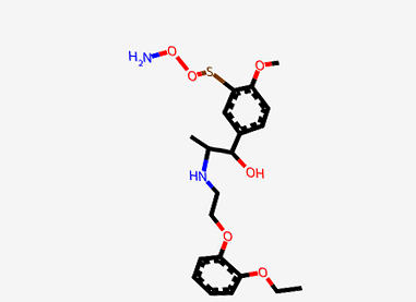 CCOc1ccccc1OCCNC(C)C(O)c1ccc(OC)c(SOON)c1